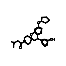 CN(C)CC(=O)N1CCC2(CC1)CC(c1cccc(O)c1)c1ccc(OC3CCCC3)cc1O2